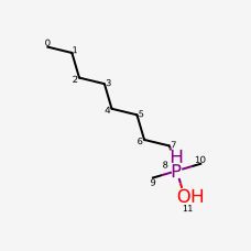 CCCCCCCC[PH](C)(C)O